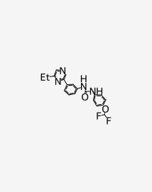 CCc1cncc(-c2cccc(NC(=O)Nc3ccc(OC(F)F)cc3)c2)n1